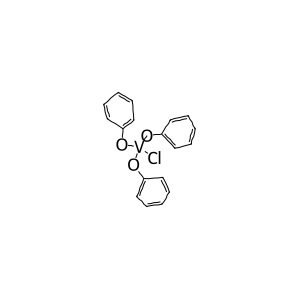 [Cl][V]([O]c1ccccc1)([O]c1ccccc1)[O]c1ccccc1